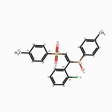 Cc1ccc([S+]([O-])C(=CS(=O)(=O)c2ccc(C)cc2)c2ccccc2F)cc1